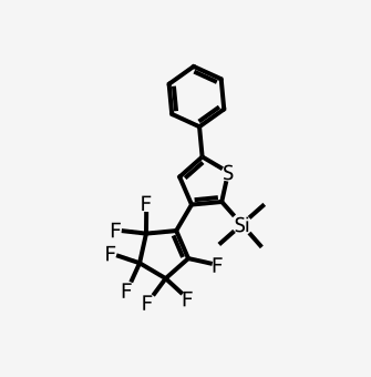 C[Si](C)(C)c1sc(-c2ccccc2)cc1C1=C(F)C(F)(F)C(F)(F)C1(F)F